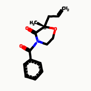 C=CC[C@]1(C)OCCN(C(=O)c2ccccc2)C1=O